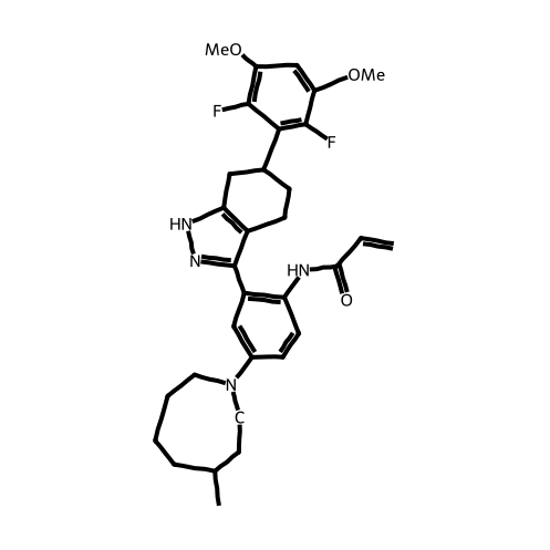 C=CC(=O)Nc1ccc(N2CCCCC(C)CC2)cc1-c1n[nH]c2c1CCC(c1c(F)c(OC)cc(OC)c1F)C2